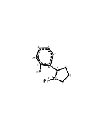 CC(C)N1CCCC1c1ccccc1F